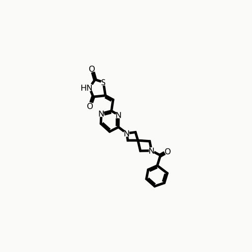 O=C1NC(=O)/C(=C\c2nccc(N3CC4(CN(C(=O)c5ccccc5)C4)C3)n2)S1